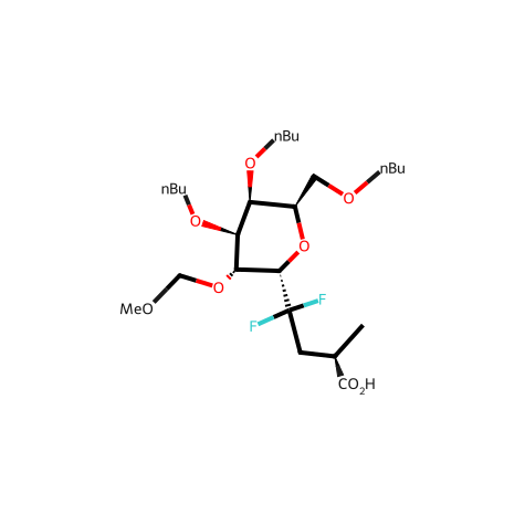 CCCCOC[C@H]1O[C@H](C(F)(F)C[C@@H](C)C(=O)O)[C@H](OCOC)[C@@H](OCCCC)[C@H]1OCCCC